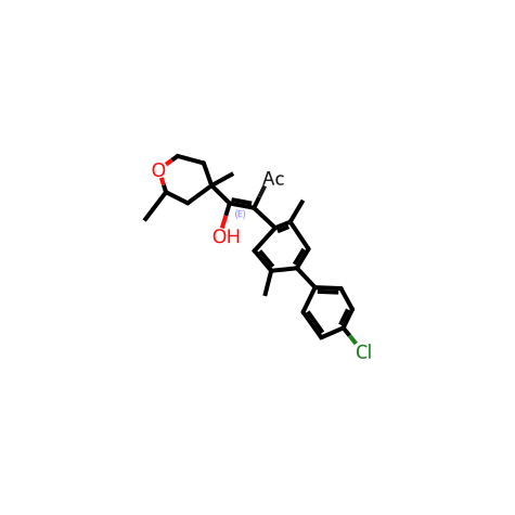 CC(=O)/C(=C(/O)C1(C)CCOC(C)C1)c1cc(C)c(-c2ccc(Cl)cc2)cc1C